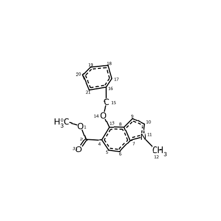 COC(=O)c1ccc2c(ccn2C)c1OCc1ccccc1